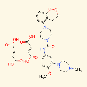 COc1ccc(NC(=O)N2CCN(c3cccc4c3CCOO4)CC2)cc1N1CCN(C)CC1.O=C(O)/C=C/C(=O)O.O=C(O)/C=C/C(=O)O